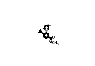 COC(=O)c1ccc(C2CC2)c(N2CCC(F)(F)C2)c1